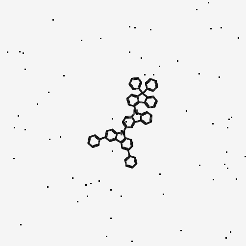 c1ccc(-c2ccc3c(c2)c2cc(-c4ccccc4)ccc2n3-c2ccc3c(c2)c2ccccc2n3-c2cccc3c2-c2ccccc2C3(c2ccccc2)c2ccccc2)cc1